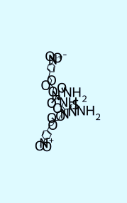 NC(=O)[C@@H]1[C@H](NC(=O)C(=NOCC(=O)OCc2ccc([N+](=O)[O-])cc2)c2csc(N)n2)C(=O)N1OCC(=O)OCc1ccc([N+](=O)[O-])cc1